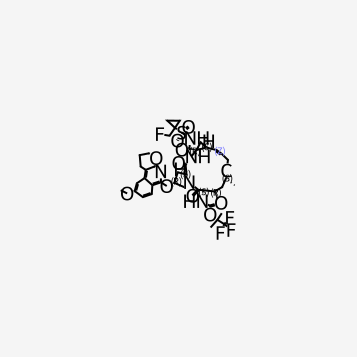 COc1ccc2c(O[C@@H]3C[C@H]4C(=O)N[C@]5(C(=O)NS(=O)(=O)C6(CF)CC6)C[C@H]5/C=C\CC[C@H](C)C[C@@H](C)[C@H](NC(=O)OC(C)(C)C(F)(F)F)C(=O)N4C3)nc3c(c2c1)CCCO3